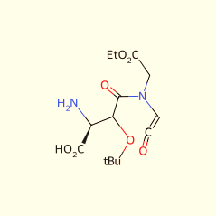 CCOC(=O)CN(C=C=O)C(=O)C(OC(C)(C)C)[C@H](N)C(=O)O